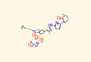 Cc1nc(Nc2cccc(N3CCCOC3=O)n2)sc1-c1cc2c(c(S(=O)(=O)NC3COC3)c1)C(=O)N(CCC1CC1)C2